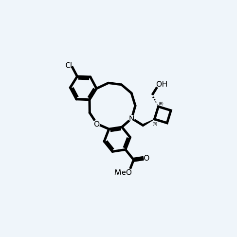 COC(=O)c1ccc2c(c1)N(C[C@@H]1CC[C@H]1CO)CCCCc1cc(Cl)ccc1CO2